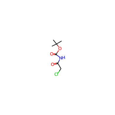 CC(C)(C)OC(=O)NC(=O)CCl